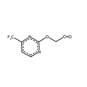 O=CCOc1nccc(C(F)(F)F)n1